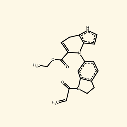 C=CC(=O)N1CCc2ccc(N3C(C(=O)OCC)=CCc4[nH]ccc43)cc21